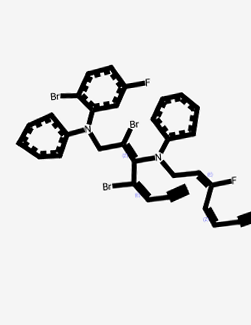 C#C/C=C\C(F)=C/CN(C(=C(\Br)CN(c1ccccc1)c1cc(F)ccc1Br)/C(Br)=C\C#C)c1ccccc1